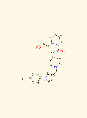 O=C(NC1CCN(Cc2ccn(-c3ccc(C(F)(F)F)cc3)c2)CC1)N1CCCCC1CCO